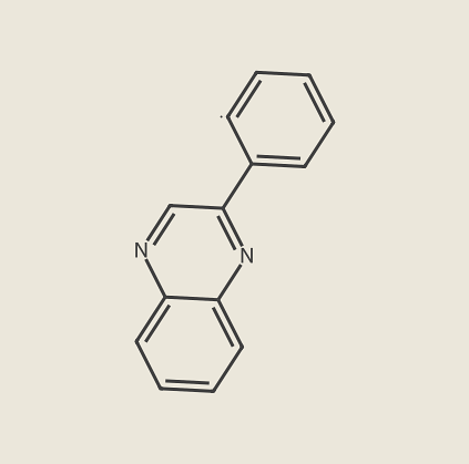 [c]1ccccc1-c1cnc2ccccc2n1